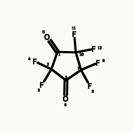 O=C1C(F)(F)C(=O)C(F)(F)C1(F)F